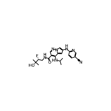 CC(C)Nc1c(C(=O)NC[C@@H](F)C(C)(C)O)cnn2cc(Nc3ccc(C#N)cn3)cc12